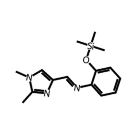 Cc1nc(C=Nc2ccccc2O[Si](C)(C)C)cn1C